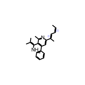 C/C=C\C=C(/C)c1cc(-c2ccccc2)c(C(N)=C(C)C)c(C)n1